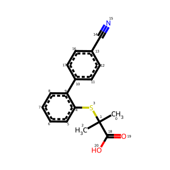 CC(C)(Sc1ccccc1-c1ccc(C#N)cc1)C(=O)O